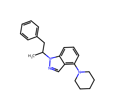 CC(Cc1ccccc1)n1ncc2c(N3CCCCC3)cccc21